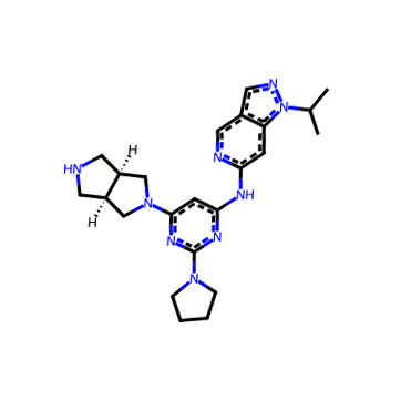 CC(C)n1ncc2cnc(Nc3cc(N4C[C@H]5CNC[C@H]5C4)nc(N4CCCC4)n3)cc21